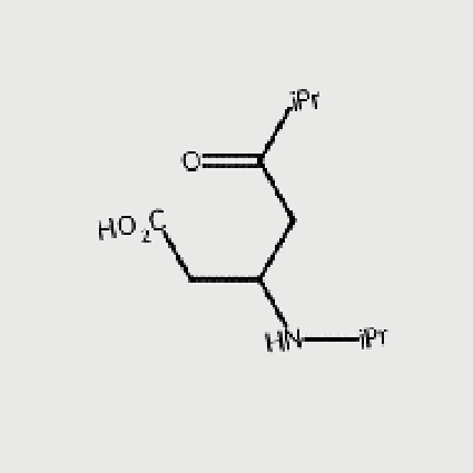 CC(C)NC(CC(=O)O)CC(=O)C(C)C